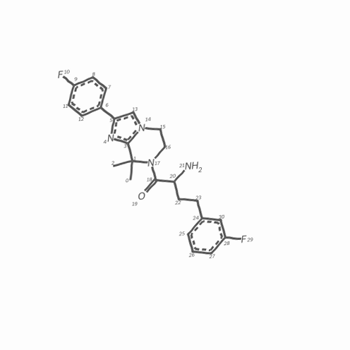 CC1(C)c2nc(-c3ccc(F)cc3)cn2CCN1C(=O)C(N)CCc1cccc(F)c1